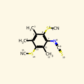 Cc1c(C)c(SC#N)c(N=C=S)c(C)c1SC#N